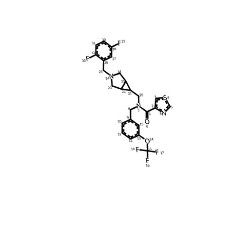 O=C(c1cscn1)N(Cc1cccc(OC(F)(F)F)c1)CC1C2CN(Cc3cc(F)ccc3F)CC21